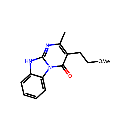 COCCc1c(C)nc2[nH]c3ccccc3n2c1=O